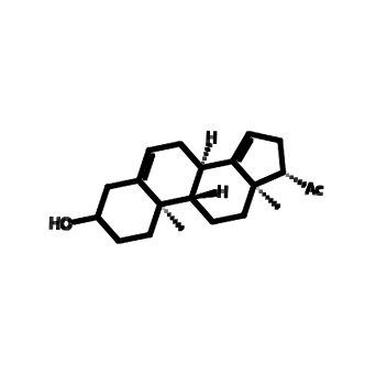 CC(=O)[C@H]1CC=C2[C@@H]3CC=C4CC(O)CC[C@]4(C)[C@H]3CC[C@@]21C